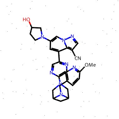 COc1ccc(CN2C3CC2CN(c2cnc(-c4cc(N5CCC(O)C5)cn5ncc(C#N)c45)cn2)C3)cn1